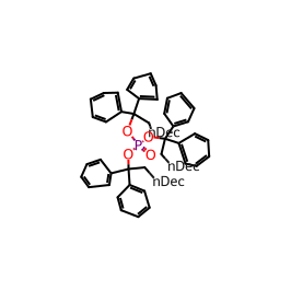 CCCCCCCCCCCC(OP(=O)(OC(CCCCCCCCCCC)(c1ccccc1)c1ccccc1)OC(CCCCCCCCCCC)(c1ccccc1)c1ccccc1)(c1ccccc1)c1ccccc1